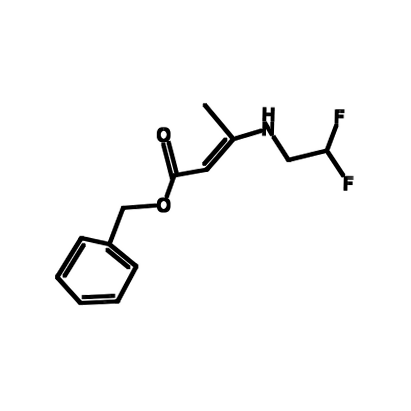 C/C(=C\C(=O)OCc1ccccc1)NCC(F)F